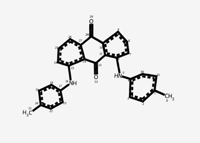 Cc1ccc(Nc2cccc3c2C(=O)c2c(Nc4ccc(C)cc4)cccc2C3=O)cc1